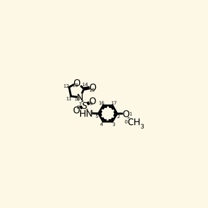 COc1ccc(NS(=O)(=O)N2CCOC2=O)cc1